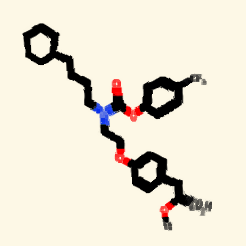 CCOC(Cc1ccc(OCCN(CCCCC2CCCCC2)C(=O)Oc2ccc(C(F)(F)F)cc2)cc1)C(=O)O